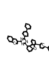 c1ccc(-c2ccc(-c3nc(-c4ccc5ccccc5c4)nc(-c4cccc5oc6c(-c7ccc(-c8ccccc8)cc7)cccc6c45)n3)cc2)cc1